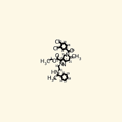 CCOC(=O)c1c2c(nn1CCNC(C)c1ccccc1)C[C@@H](C)N(C(=O)c1ccc(Cl)c(Cl)c1)C2